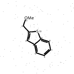 [CH2]OCc1cc2ccccc2s1